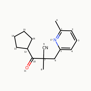 Cc1cccc(CC(C)(C#N)C(=O)C2CCCC2)n1